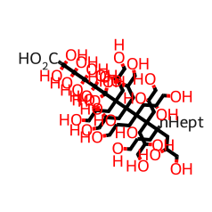 CCCCCCCC(CC(O)CO)(CC(O)CO)C(CC(O)CO)(CC(O)CO)C(CC(O)CO)(CC(O)CO)C(CC(O)CO)(CC(O)CO)C(CC(O)CO)(CC(O)CO)C(O)(O)C(O)(O)C(O)(O)C(O)(O)C(O)(O)C(=O)O